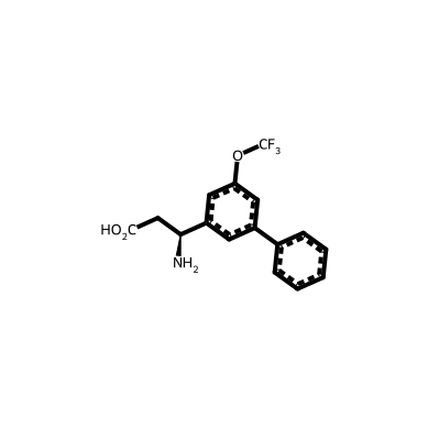 N[C@@H](CC(=O)O)c1cc(OC(F)(F)F)cc(-c2ccccc2)c1